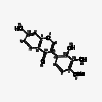 COc1ccc(-c2coc3cc(O)ccc3c2=O)c(O)c1O